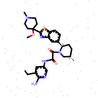 CCc1cc(NC(=O)C(=O)N2C[C@@H](C)CC[C@@H]2c2ccc3sc(C4(OC)CCN(C)CC4)nc3c2)cnc1N